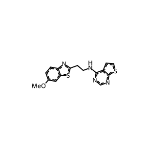 COc1ccc2nc(CCNc3ncnc4sccc34)sc2c1